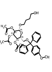 COc1ccc(C(OC[C@H]2O[C@@H](OCCCCO)[C@H](OC(C)=O)[C@@H](OC(C)=O)[C@H]2OC(C)=O)(c2ccccc2)c2ccccc2)cc1